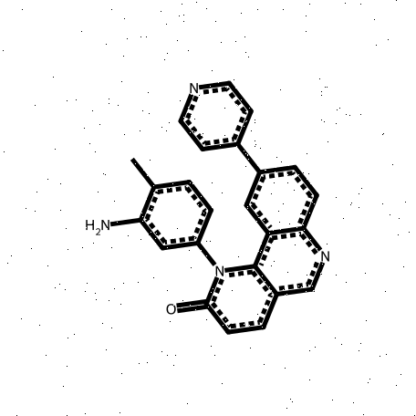 Cc1ccc(-n2c(=O)ccc3cnc4ccc(-c5ccncc5)cc4c32)cc1N